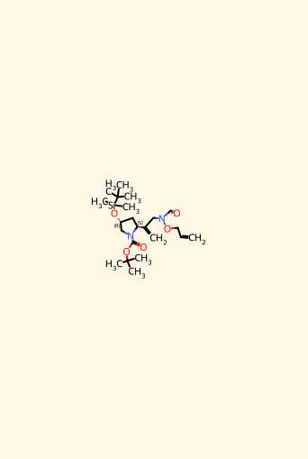 C=CCON(C=O)CC(=C)[C@@H]1C[C@@H](O[Si](C)(C)C(C)(C)C)CN1C(=O)OC(C)(C)C